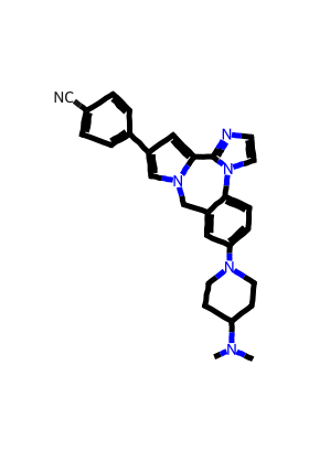 CN(C)C1CCN(c2ccc3c(c2)Cn2cc(-c4ccc(C#N)cc4)cc2-c2nccn2-3)CC1